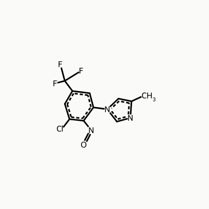 Cc1cn(-c2cc(C(F)(F)F)cc(Cl)c2N=O)cn1